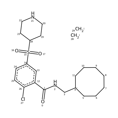 O=C(NC[C]1CCCCCCC1)c1cc(S(=O)(=O)C2CCNCC2)ccc1Cl.[CH2].[CH2]